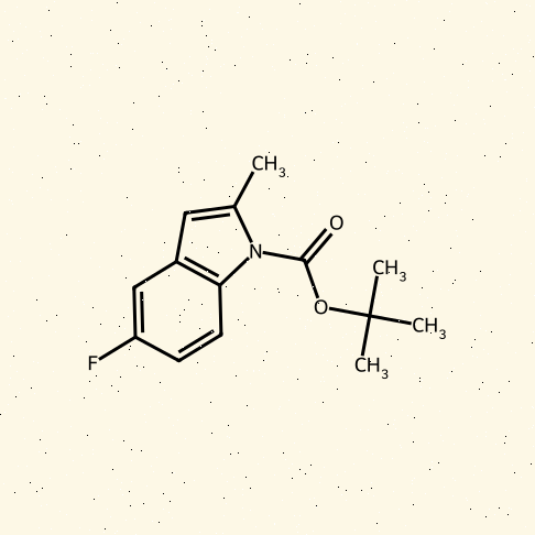 Cc1cc2cc(F)ccc2n1C(=O)OC(C)(C)C